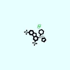 C[Si](C)(C)c1ccc2c(c1)-c1cc([Si](C)(C)C)c[c]([Zr+2]([C]3=CC=CC3)=[C]3CCCCC3)c1C2.[Cl-].[Cl-]